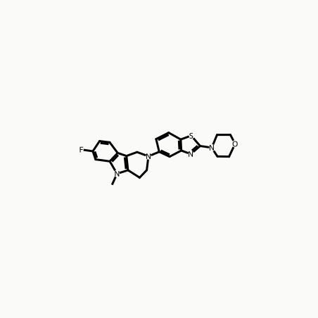 Cn1c2c(c3ccc(F)cc31)CN(c1ccc3sc(N4CCOCC4)nc3c1)CC2